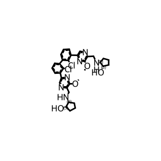 COc1nc(-c2cccc(-c3cccc(-c4cnc(CN[C@@H]5CCC[C@@H]5O)c(OC)n4)c3Cl)c2Cl)cnc1CN[C@@H]1CCC[C@@H]1O